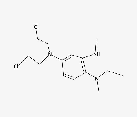 CCN(C)c1ccc(N(CCCl)CCCl)cc1NC